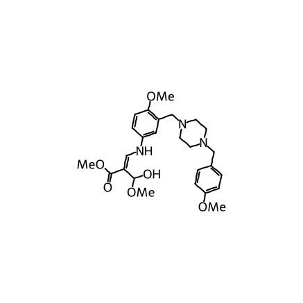 COC(=O)/C(=C/Nc1ccc(OC)c(CN2CCN(Cc3ccc(OC)cc3)CC2)c1)C(O)OC